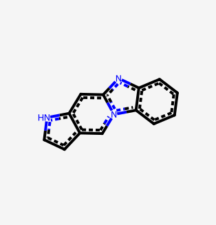 c1ccc2c(c1)nc1cc3[nH]ccc3cn12